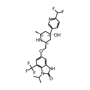 CC(C)n1c(=O)[nH]c2cc(OC[C@@H]3C[C@](O)(c4ccc(C(F)F)nc4)C[C@H](C)N3)cc(C(F)(F)F)c21